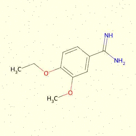 CCOc1ccc(C(=N)N)cc1OC